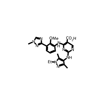 CCn1nc(C)c(Nc2ncc(C(=O)O)c(Nc3cccc(-c4ncn(C)n4)c3OC)n2)c1C